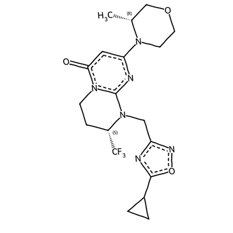 C[C@@H]1COCCN1c1cc(=O)n2c(n1)N(Cc1noc(C3CC3)n1)[C@H](C(F)(F)F)CC2